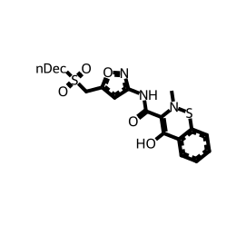 CCCCCCCCCCS(=O)(=O)Cc1cc(NC(=O)C2=C(O)c3ccccc3SN2C)no1